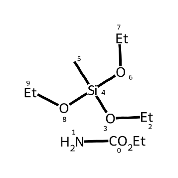 CCOC(N)=O.CCO[Si](C)(OCC)OCC